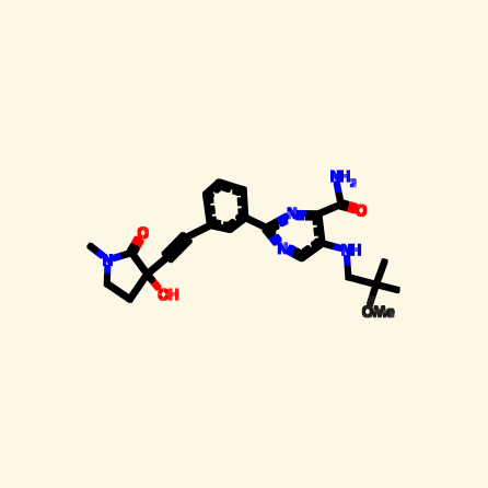 COC(C)(C)CNc1cnc(-c2cccc(C#CC3(O)CCN(C)C3=O)c2)nc1C(N)=O